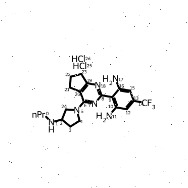 CCCNC1CCN(c2nc(-c3c(N)cc(C(F)(F)F)cc3N)nc3c2CCC3)C1.Cl.Cl